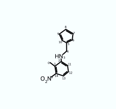 Cc1c(NCc2ccccc2)cccc1[N+](=O)[O-]